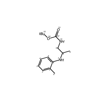 Cc1ccccc1NC(C)CNC(=O)OC(C)(C)C